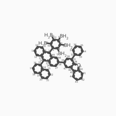 Bc1c(B)c(B)c(-c2c3ccccc3c(-c3cccc4ccccc34)c3ccc(-c4cc(-c5ccccc5)c5oc6ccccc6c5c4)cc23)c(B)c1B